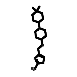 CC1(C)CCC(N2CCC(OCc3csc(N)n3)CC2)CC1